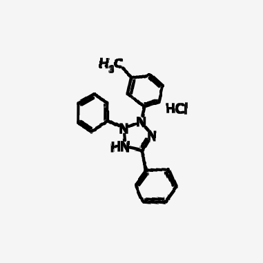 Cc1cccc(N2N=C(c3ccccc3)NN2c2ccccc2)c1.Cl